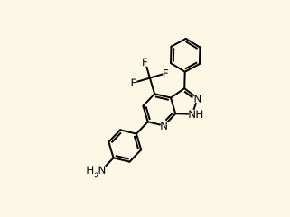 Nc1ccc(-c2cc(C(F)(F)F)c3c(-c4ccccc4)n[nH]c3n2)cc1